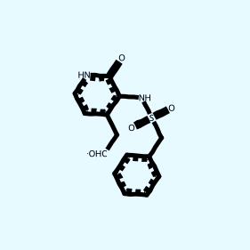 O=[C]Cc1cc[nH]c(=O)c1NS(=O)(=O)Cc1ccccc1